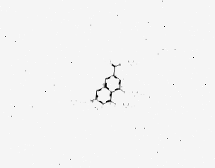 COC(=O)c1cc(OC)c2c(OC)cc(OC)cc2c1